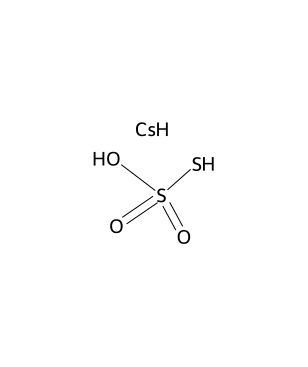 O=S(=O)(O)S.[CsH]